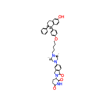 C[C@@H]1CN(c2ccc3c(c2)CN(C2CCC(=O)NC2=O)C3=O)C[C@H](C)N1CCCCCOc1ccc([C@@H]2c3ccc(O)cc3CC[C@@H]2c2ccccc2)cc1